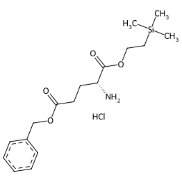 C[Si](C)(C)CCOC(=O)[C@H](N)CCC(=O)OCc1ccccc1.Cl